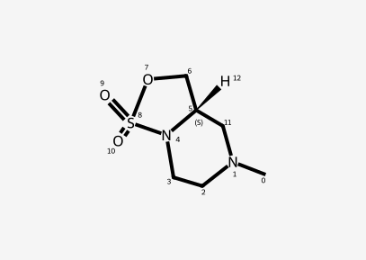 CN1CCN2[C@H](COS2(=O)=O)C1